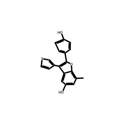 Cc1cc(O)cc2c(-c3ccsc3)c(-c3ccc(O)cc3)oc12